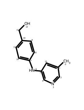 Cc1cncc(Nc2ccc(CO)cc2)c1